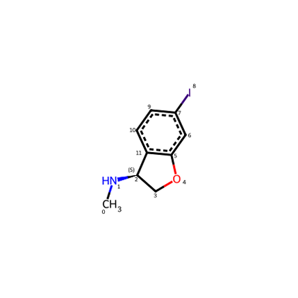 CN[C@@H]1COc2cc(I)ccc21